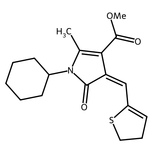 COC(=O)C1=C(C)N(C2CCCCC2)C(=O)/C1=C\C1=CCCS1